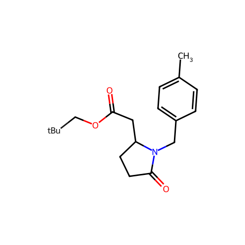 Cc1ccc(CN2C(=O)CCC2CC(=O)OCC(C)(C)C)cc1